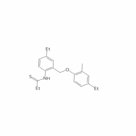 CCC(=S)Nc1ccc(CC)cc1COc1ccc(CC)cc1C